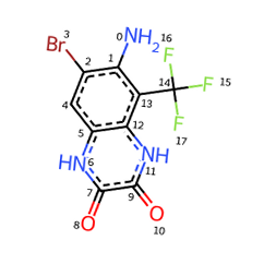 Nc1c(Br)cc2[nH]c(=O)c(=O)[nH]c2c1C(F)(F)F